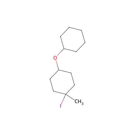 CC1(I)CCC(OC2CCCCC2)CC1